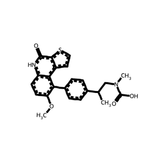 COc1ccc2[nH]c(=O)c3sccc3c2c1-c1ccc(C(C)CN(C)C(=O)O)cc1